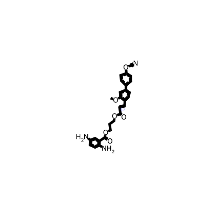 COc1cc(-c2ccc(OC#N)cc2)ccc1/C=C/C(=O)OCCCOC(=O)c1cc(N)ccc1N